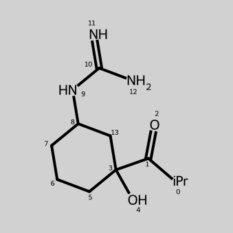 CC(C)C(=O)C1(O)CCCC(NC(=N)N)C1